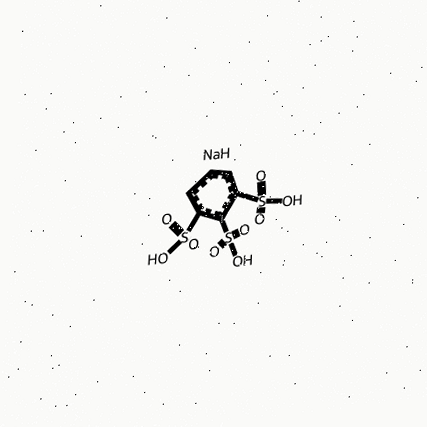 O=S(=O)(O)c1cccc(S(=O)(=O)O)c1S(=O)(=O)O.[NaH]